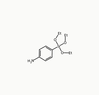 CCO[Si](OCC)(OCC)c1ccc(N)cc1